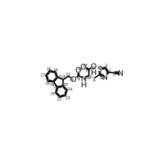 N#Cc1csc(C[C@H](NC(=O)OCC2c3ccccc3-c3ccccc32)C(=O)O)n1